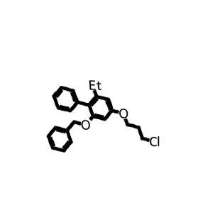 CCc1cc(OCCCCl)cc(OCc2ccccc2)c1-c1ccccc1